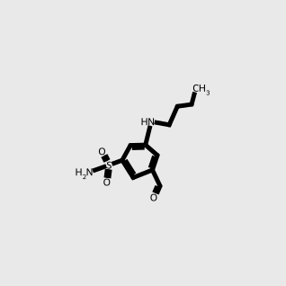 CCCCNc1cc(C=O)cc(S(N)(=O)=O)c1